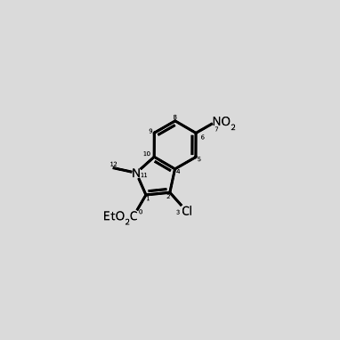 CCOC(=O)c1c(Cl)c2cc([N+](=O)[O-])ccc2n1C